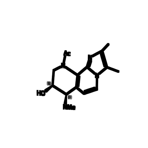 CN[C@@H]1c2ccn3c(C)c(C)nc3c2N(C(C)=O)C[C@@H]1O